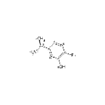 C[C@H](N)c1ccc(F)c(O)c1